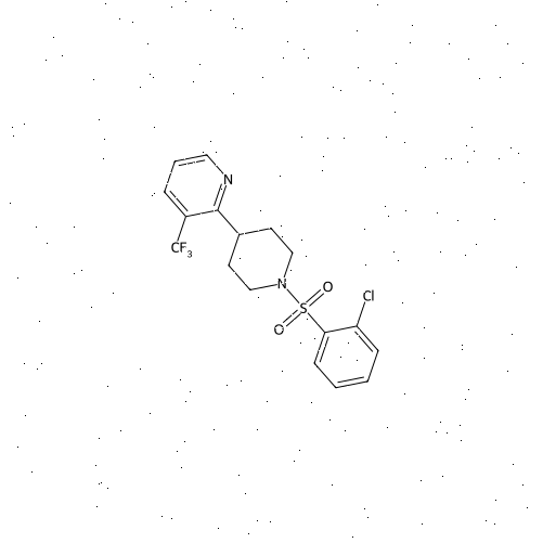 O=S(=O)(c1ccccc1Cl)N1CCC(c2ncccc2C(F)(F)F)CC1